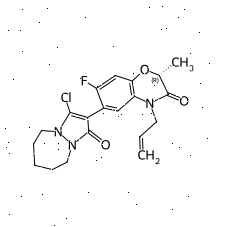 C=CCN1C(=O)[C@@H](C)Oc2cc(F)c(-c3c(Cl)n4n(c3=O)CCCCC4)cc21